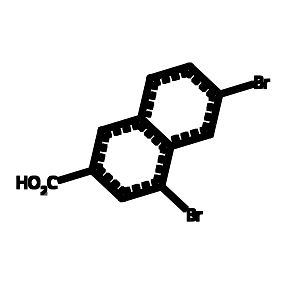 O=C(O)c1cc(Br)c2cc(Br)ccc2c1